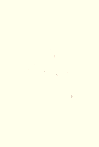 COc1ccc(Cc2cc[nH]c2COC(=O)C(Nc2ccc(C(F)(F)F)cc2F)C(C)C)cc1